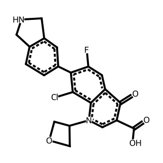 O=C(O)c1cn(C2COC2)c2c(Cl)c(-c3ccc4c(c3)CNC4)c(F)cc2c1=O